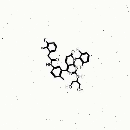 Cc1ccc(NC(=O)Cc2cccc(F)c2F)cc1-c1nc(NC(CO)CO)nc2c1ccc(=O)n2-c1c(F)cccc1F